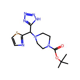 CC(C)(C)OC(=O)N1CCN(C(c2nnn[nH]2)c2nccs2)CC1